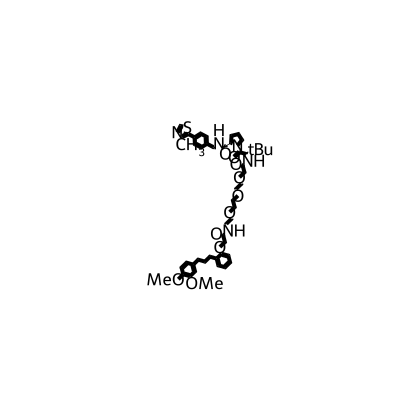 COc1ccc(CCCc2ccccc2OCC(=O)NCCOCCOCCOCC(=O)N[C@H](C(=O)N2CCC[C@H]2C(=O)NCc2ccc(-c3scnc3C)cc2)C(C)(C)C)cc1OC